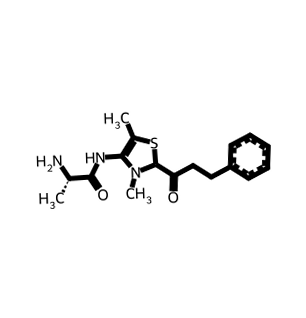 CC1=C(NC(=O)[C@H](C)N)N(C)C(C(=O)CCc2ccccc2)S1